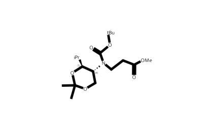 COC(=O)CCN(C(=O)OC(C)(C)C)[C@@H]1COC(C)(C)O[C@H]1C(C)C